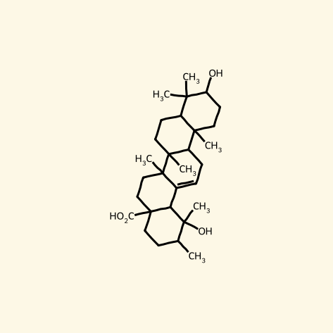 CC1CCC2(C(=O)O)CCC3(C)C(=CCC4C5(C)CCC(O)C(C)(C)C5CCC43C)C2C1(C)O